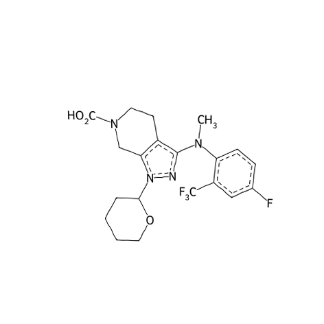 CN(c1ccc(F)cc1C(F)(F)F)c1nn(C2CCCCO2)c2c1CCN(C(=O)O)C2